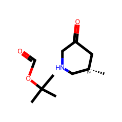 CC(C)(C)OC=O.C[C@@H]1CNCC(=O)C1